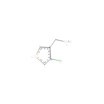 CC(=O)OCc1cscc1Br